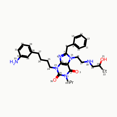 CCCn1c(=O)c2c(nc(Cc3ccccc3)n2CCNCC(O)CC)n(CCCCc2cccc(N)c2)c1=O